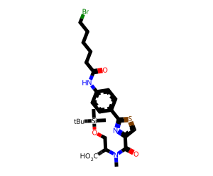 CN(C(=O)c1csc(-c2ccc(NC(=O)CCCCCBr)cc2)n1)C(CO[Si](C)(C)C(C)(C)C)C(=O)O